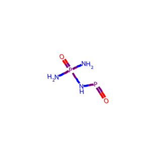 NP(N)(=O)NP=O